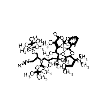 COC(C)(C[C@@H](C)CN(C(=O)OC(C)(C)C)C(CN=[N+]=[N-])CO[Si](C)(C)C(C)(C)C)[C@H](OC1OC(C)CC(N(C)C)C1OC(=O)c1ccccc1)[C@@H](C)C1=C(C)C(=O)OC(C)(C)O1